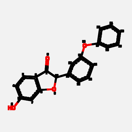 O=C1c2ccc(O)cc2OC1c1cccc(Oc2ccccc2)c1